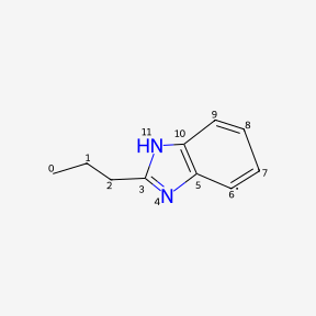 CCCc1nc2[c]cccc2[nH]1